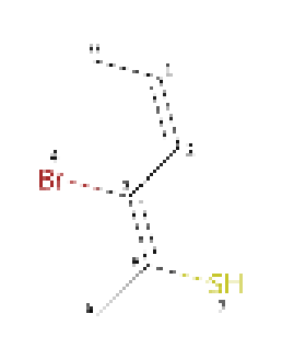 C/C=C\C(Br)=C(\C)S